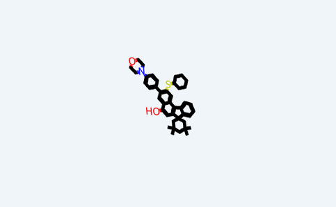 CC1(C)CC(C)(C)CC2(C1)c1ccccc1-c1c2cc(O)c2cc(-c3ccc(N4CCOCC4)cc3)c(SC3CCCCC3)cc12